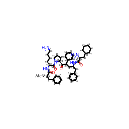 CN[C@@H](Cc1ccccc1)C(=O)N[C@@H](CCCCN)C(=O)N1CCC[C@H]1C(=O)C(CC(Cc1ccccc1)NC(=O)[C@H](N)CC1CCCCC1)c1ccccc1